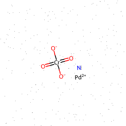 [N].[O]=[Cr](=[O])([O-])[O-].[Pd+2]